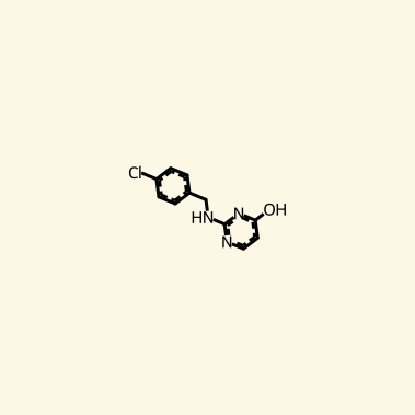 Oc1ccnc(NCc2ccc(Cl)cc2)n1